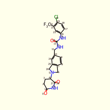 O=C1CCC(N2Cc3ccc(CNC(=O)Nc4ccc(Cl)c(C(F)(F)F)c4)cc3C2)C(=O)N1